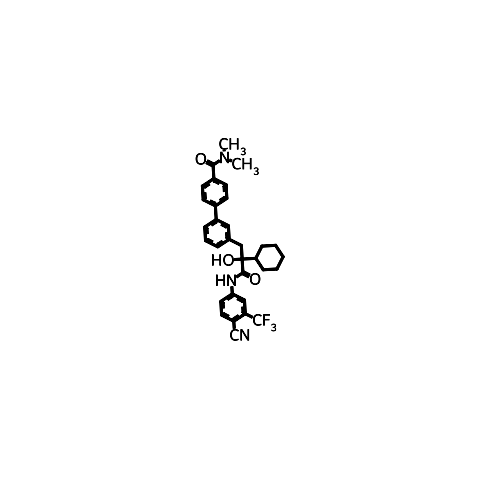 CN(C)C(=O)c1ccc(-c2cccc(CC(O)(C(=O)Nc3ccc(C#N)c(C(F)(F)F)c3)C3CCCCC3)c2)cc1